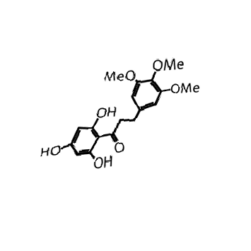 COc1cc(CCC(=O)c2c(O)cc(O)cc2O)cc(OC)c1OC